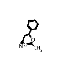 CC(=O)OC(CC#N)c1ccccc1